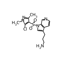 Cc1nn(C)c(Cl)c1S(=O)(=O)n1cc(CCCN)c2ccncc21